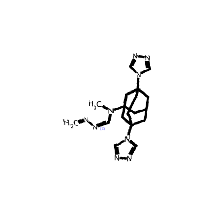 C=N/N=C\N(C)C12CC3CC(n4cnnc4)(C1)CC(n1cnnc1)(C3)C2